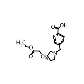 CCOC(=O)CO[C@@H]1CCN(Cc2ccc(C(=O)O)nc2)C1